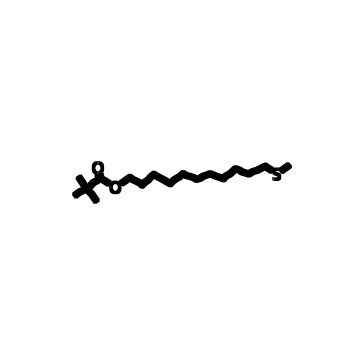 CSCCCCCCCCCCCOC(=O)C(C)(C)C